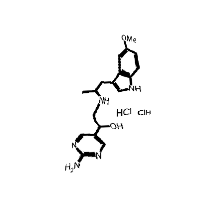 COc1ccc2[nH]cc(CC(C)NCC(O)c3cnc(N)nc3)c2c1.Cl.Cl